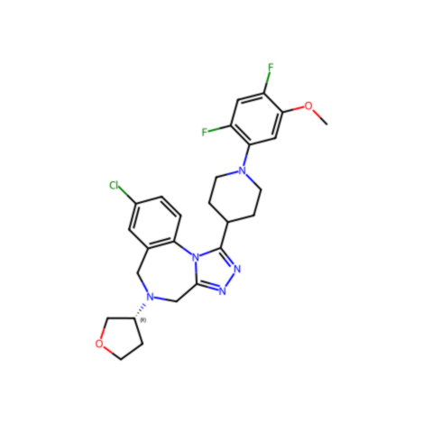 COc1cc(N2CCC(c3nnc4n3-c3ccc(Cl)cc3CN([C@@H]3CCOC3)C4)CC2)c(F)cc1F